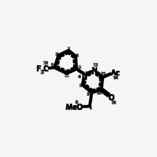 COCc1cn(-c2cccc(C(F)(F)F)c2)nc(C(C)=O)c1=O